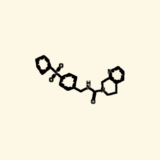 O=C(NCc1ccc(S(=O)(=O)c2ccccc2)cc1)N1CCc2cccnc2C1